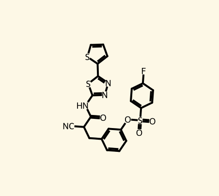 N#CC(Cc1cccc(OS(=O)(=O)c2ccc(F)cc2)c1)C(=O)Nc1nnc(-c2cccs2)s1